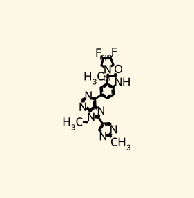 CCn1c(-c2cnc(C)nc2)nc2c(-c3ccc4c(c3)[C@@](C)(N3C[C@@H](F)[C@H](F)C3)C(=O)N4)ncnc21